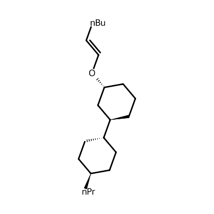 CCCCC=CO[C@@H]1CCC[C@@H]([C@H]2CC[C@H](CCC)CC2)C1